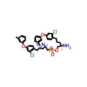 Cc1cccc(Oc2ccc(CCC[C@@](C)(N)CO[PH](=O)OC[C@](C)(N)CCCc3ccc(Oc4cccc(C)c4)cc3Cl)c(Cl)c2)c1